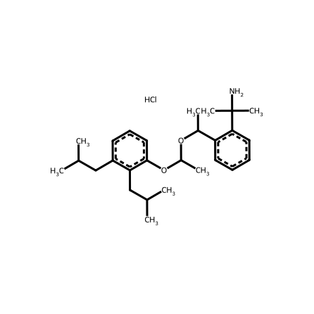 CC(C)Cc1cccc(OC(C)OC(C)c2ccccc2C(C)(C)N)c1CC(C)C.Cl